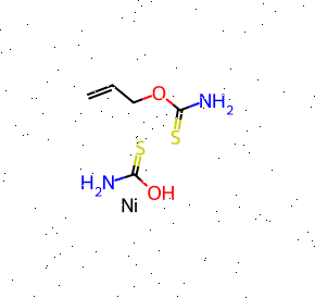 C=CCOC(N)=S.NC(O)=S.[Ni]